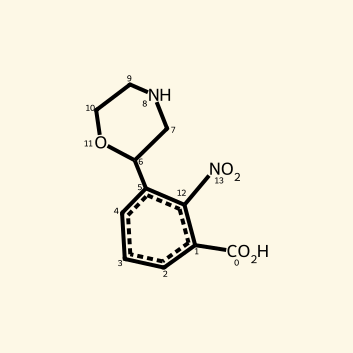 O=C(O)c1cccc(C2CNCCO2)c1[N+](=O)[O-]